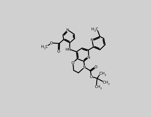 COC(=O)c1cnccc1Nc1cc(-c2cccc(C)n2)nc2c1OCCN2C(=O)OC(C)(C)C